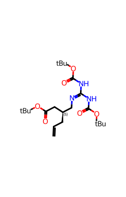 C=CC[C@H](CN=C(NC(=O)OC(C)(C)C)NC(=O)OC(C)(C)C)CC(=O)OC(C)(C)C